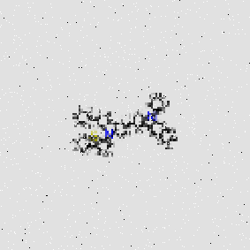 c1ccc(-c2ccc3c4cc(-c5ccc6c(c5)c5cc7ccccc7cc5n6-c5ccccc5)ccc4n(-c4cccc5c4sc4ccccc45)c3c2)cc1